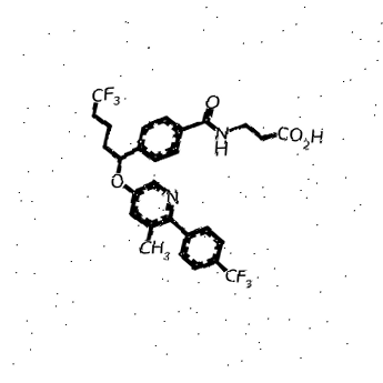 Cc1cc(OC(CCCC(F)(F)F)c2ccc(C(=O)NCCC(=O)O)cc2)cnc1-c1ccc(C(F)(F)F)cc1